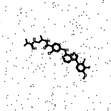 COc1ccc(-c2cnc3c(Nc4ccc(C(=O)NC(C)CNC(=N)C(C)C)c(Cl)c4)nccn23)c(F)c1F